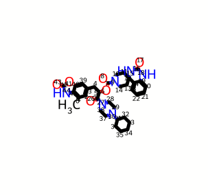 Cc1cc(CC(OC(=O)N2CCC3(CC2)NC(=O)Nc2ccccc23)C(=O)N2CCN(C3CCCCC3)CC2)cc2oc(=O)[nH]c12